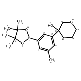 Cc1cc(B2OC(C)(C)C(C)(C)O2)cc(C2(O)CCCOC2)c1